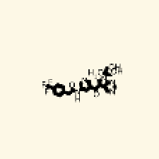 CC(CO)(CO)n1cc(C(=O)c2cncc(NC(=O)Cc3ccc(C(F)(F)F)cc3)c2)c2cncnc21